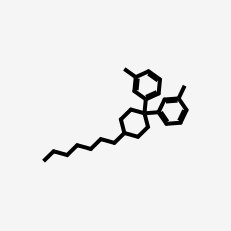 CCCCCCCC1CCC(c2cccc(C)c2)(c2cccc(C)c2)CC1